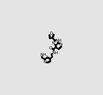 NCc1cc(CCNC(=O)c2ccnc3[nH]c(-c4ccoc4)nc23)ccn1